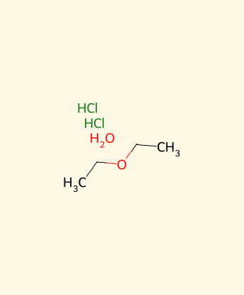 CCOCC.Cl.Cl.O